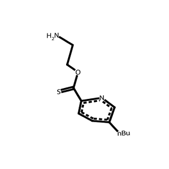 CCCCc1ccc(C(=S)OCCN)nc1